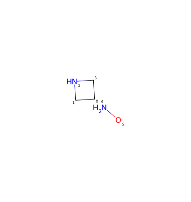 C1CNC1.N[O]